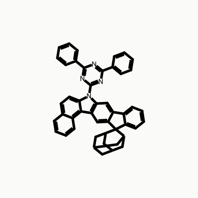 c1ccc(-c2nc(-c3ccccc3)nc(-n3c4cc5c(cc4c4c6ccccc6ccc43)C3(c4ccccc4-5)C4CC5CC(C4)CC3C5)n2)cc1